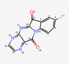 O=C1c2cc(F)ccc2-n2c1nc1nccnc1c2=O